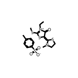 CC[N+]1=C(SC)SC(=C2SCCN2C)C1=O.Cc1ccc(S(=O)(=O)[O-])cc1